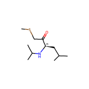 CSCC(=O)[C@@H](CC(C)C)NC(C)C